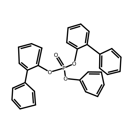 O=P(Oc1ccccc1)(Oc1ccccc1-c1ccccc1)Oc1ccccc1-c1ccccc1